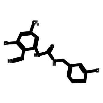 N=Nc1c(Cl)cc(C(F)(F)F)cc1NC(=O)NCc1cccc(Cl)c1